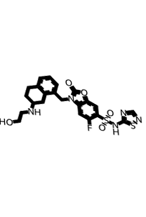 O=c1oc2cc(S(=O)(=O)Nc3ncns3)c(F)cc2n1Cc1cccc2c1CC(NCCO)CC2